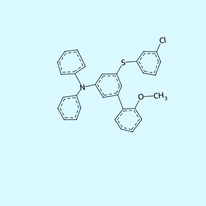 COc1ccccc1-c1cc(Sc2cccc(Cl)c2)cc(N(c2ccccc2)c2ccccc2)c1